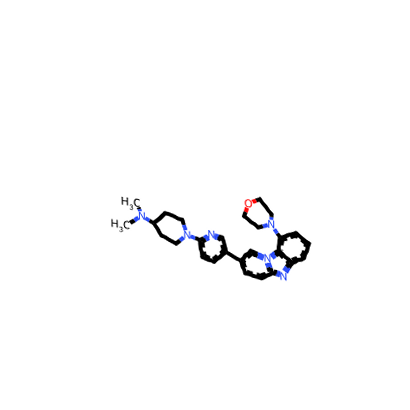 CN(C)C1CCN(c2ccc(-c3ccc4nc5cccc(N6CCOCC6)c5n4c3)cn2)CC1